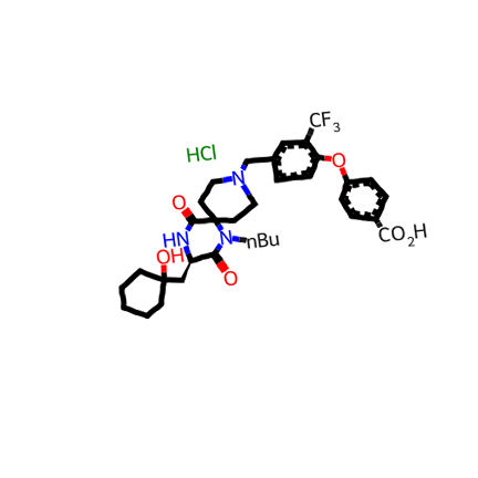 CCCCN1C(=O)[C@@H](CC2(O)CCCCC2)NC(=O)C12CCN(Cc1ccc(Oc3ccc(C(=O)O)cc3)c(C(F)(F)F)c1)CC2.Cl